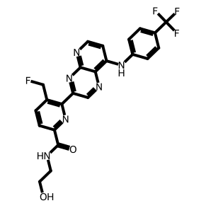 O=C(NCCO)c1ccc(CF)c(-c2cnc3c(Nc4ccc(C(F)(F)F)cc4)ccnc3n2)n1